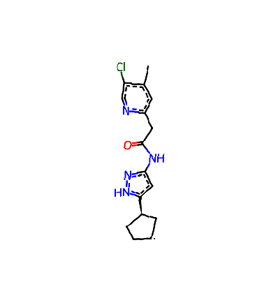 Cc1cc(CC(=O)Nc2cc([C@H]3C[CH]CC3)[nH]n2)ncc1Cl